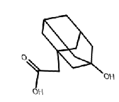 O=C(O)CC12CC3CC(CC(O)(C3)C1)C2